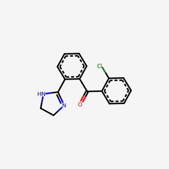 O=C(c1ccccc1Cl)c1ccccc1C1=NCCN1